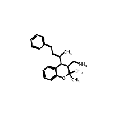 CC(CCc1ccccc1)C1c2ccccc2OC(C)(C)C1CN